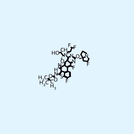 C[C@@H](O)[C@H]1COc2c(Cl)c(-c3ccc(F)c4sc(NC(=O)OC(C)(C)C)c(C#N)c34)c(F)c3nc(OC[C@@]45CCCN4C[C@H](F)C5)nc(c23)N1CCC(F)F